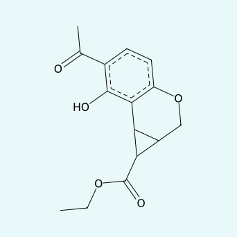 CCOC(=O)C1C2COc3ccc(C(C)=O)c(O)c3C21